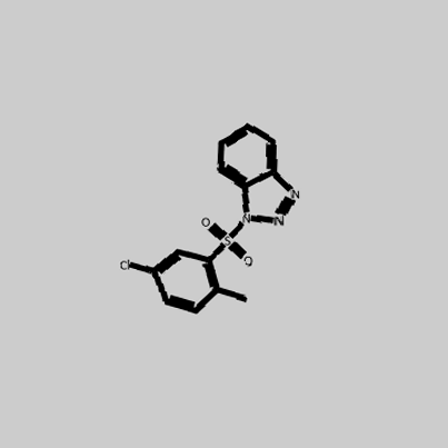 Cc1ccc(Cl)cc1S(=O)(=O)n1nnc2ccccc21